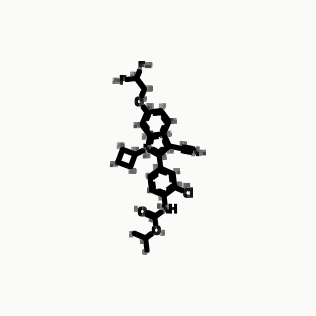 CC(C)OC(=O)Nc1ccc(-c2c(C#N)c3ccc(OCC(F)F)cc3n2C2CCC2)cc1Cl